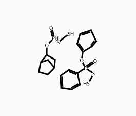 O=P(Oc1ccccc1)(SS)c1ccccc1.O=[PH](OC1CC2CCC1C2)SS